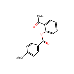 COC(=O)c1ccccc1OC(=O)c1ccc(OC)cc1